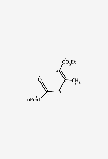 CCCCCC(=O)CC(C)=CC(=O)OCC